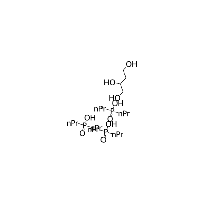 CCCP(=O)(O)CCC.CCCP(=O)(O)CCC.CCCP(=O)(O)CCC.OCCC(O)CO